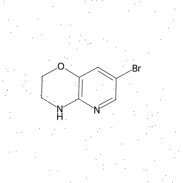 Brc1cnc2c(c1)OCCN2